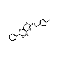 CN(OCc1ccccc1)c1nc(OCc2ccc(F)cc2)ncc1F